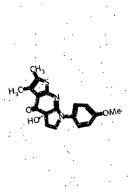 COc1ccc(N2CC[C@@]3(O)C(=O)c4c(sc(C)c4C)N=C23)cc1